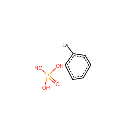 O=P(O)(O)O.[La][c]1ccccc1